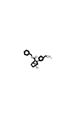 CCc1ccc([C@H]2C[C@H]3CCC(N3)C2C(=O)OCc2ccccc2)cc1